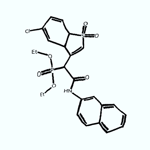 CCOP(=O)(OCC)C(C(=O)Nc1ccc2ccccc2c1)C1=CS(=O)(=O)C2C=CC(Cl)=CC12